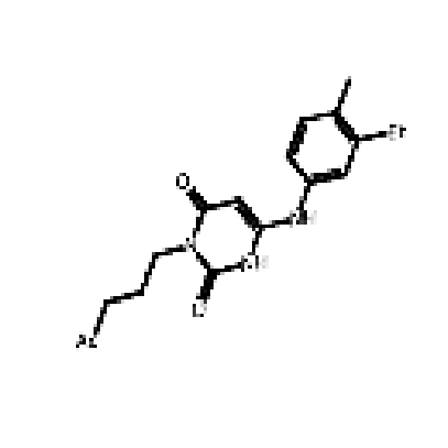 CCc1cc(Nc2cc(=O)n(CCCC(C)=O)c(=O)[nH]2)ccc1C